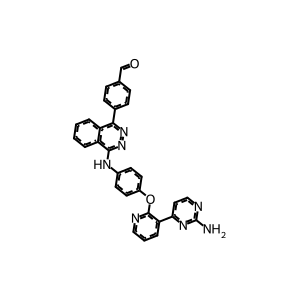 Nc1nccc(-c2cccnc2Oc2ccc(Nc3nnc(-c4ccc(C=O)cc4)c4ccccc34)cc2)n1